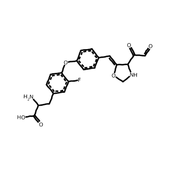 NC(Cc1ccc(Oc2ccc(C=C3OCNC3C(=O)C=O)cc2)c(F)c1)C(=O)O